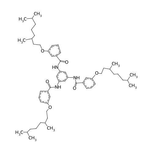 CC(C)CCCC(C)CCOc1cccc(C(=O)Nc2cc(NC(=O)c3cccc(OCCC(C)CCCC(C)C)c3)cc(NC(=O)c3cccc(OCCC(C)CCCC(C)C)c3)c2)c1